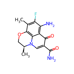 Cc1c(F)c(N)c2c(=O)c(C(N)=O)cn3c2c1OC[C@@H]3C